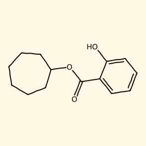 O=C(OC1CCCCCC1)c1ccccc1O